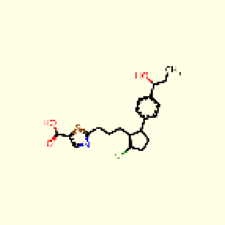 CCC(O)c1ccc(C2CCC(Cl)C2CCCc2ncc(C(=O)O)s2)cc1